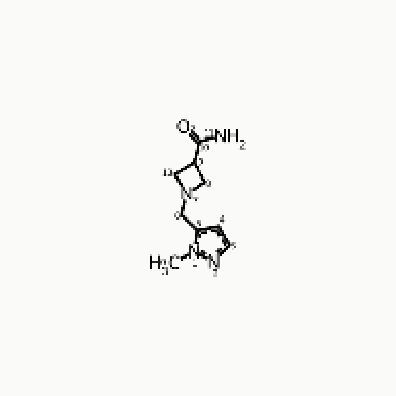 Cn1nccc1CN1CC(C(N)=O)C1